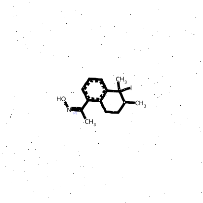 C/C(=N/O)c1cccc2c1CCC(C)C2(C)I